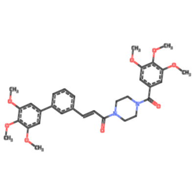 COc1cc(C(=O)N2CCN(C(=O)C=Cc3cccc(-c4cc(OC)c(OC)c(OC)c4)c3)CC2)cc(OC)c1OC